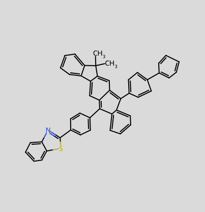 CC1(C)c2ccccc2-c2cc3c(-c4ccc(-c5nc6ccccc6s5)cc4)c4ccccc4c(-c4ccc(-c5ccccc5)cc4)c3cc21